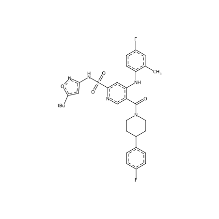 Cc1cc(F)ccc1Nc1cc(S(=O)(=O)Nc2cc(C(C)(C)C)on2)ncc1C(=O)N1CCC(c2ccc(F)cc2)CC1